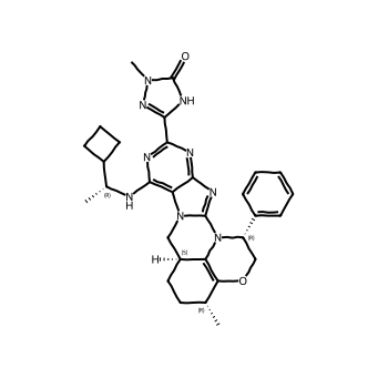 C[C@@H]1CC[C@H]2Cn3c(nc4nc(-c5nn(C)c(=O)[nH]5)nc(N[C@H](C)C5CCC5)c43)N3C2=C1OC[C@H]3c1ccccc1